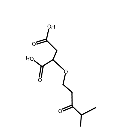 CC(C)C(=O)CCOC(CC(=O)O)C(=O)O